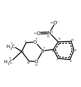 CC1(C)COB(c2ccccc2[N+](=O)[O-])OC1